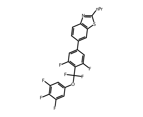 CCCc1nc2ccc(-c3cc(F)c(C(F)(F)Oc4cc(F)c(F)c(F)c4)c(F)c3)cc2s1